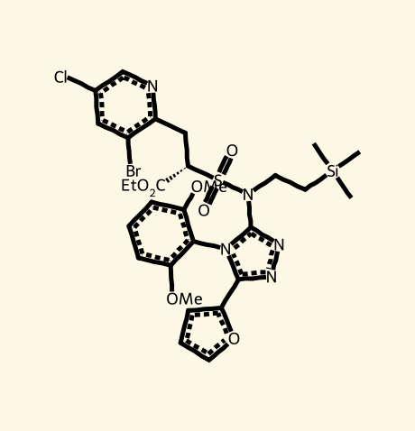 CCOC(=O)[C@H](Cc1ncc(Cl)cc1Br)S(=O)(=O)N(CC[Si](C)(C)C)c1nnc(-c2ccco2)n1-c1c(OC)cccc1OC